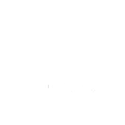 CC1OC(=O)C2=CC=CC(=Cc3ccccc3)C21